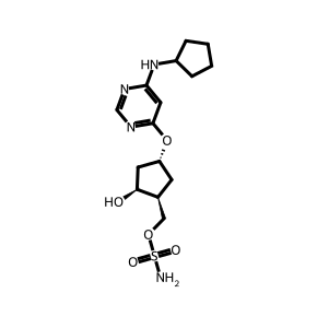 NS(=O)(=O)OC[C@@H]1C[C@@H](Oc2cc(NC3CCCC3)ncn2)C[C@@H]1O